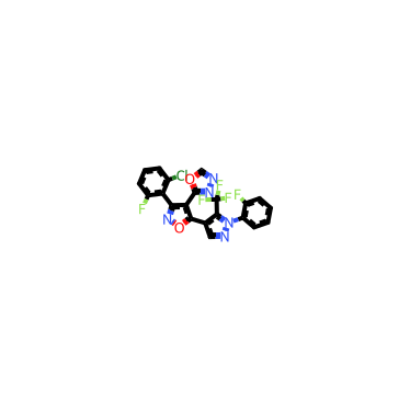 Fc1ccccc1-n1ncc(-c2onc(-c3c(F)cccc3Cl)c2-c2nnco2)c1C(F)(F)F